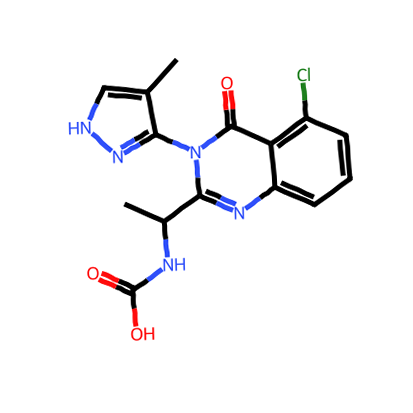 Cc1c[nH]nc1-n1c(C(C)NC(=O)O)nc2cccc(Cl)c2c1=O